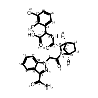 NC(=O)c1nn(CC(=O)N2[C@@H]3CC[C@@H](C3)[C@H]2C(=O)NC(C(=O)O)c2cccc(Cl)c2F)c2ccccc12